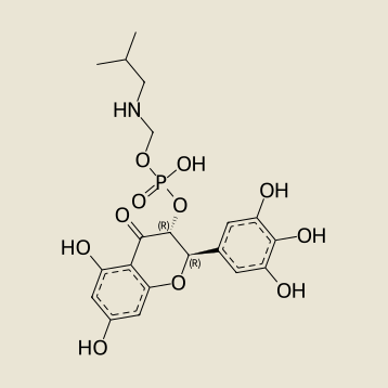 CC(C)CNCOP(=O)(O)O[C@H]1C(=O)c2c(O)cc(O)cc2O[C@@H]1c1cc(O)c(O)c(O)c1